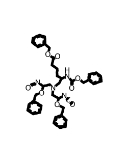 O=C=NC(CN(CC(CCCC(=O)OCc1ccccc1)NC(=O)OCc1ccccc1)CC(N=C=O)OCc1ccccc1)OCc1ccccc1